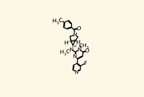 Cc1ccc(C(=O)N2C[C@@H]3[C@H](C2)[C@H]3N(C)c2nc(-c3ccncc3F)cc(=O)n2C)cc1